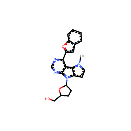 Cn1ccc2c1c1c(-c3cc4ccccc4o3)ncnc1n2C1CCC(CO)O1